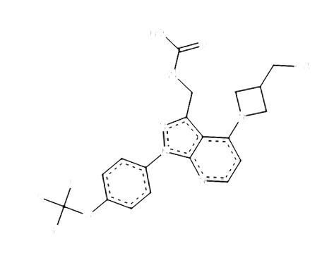 O=C(O)NCc1nn(-c2ccc(OC(F)(F)F)cc2)c2nccc(N3CC(CO)C3)c12